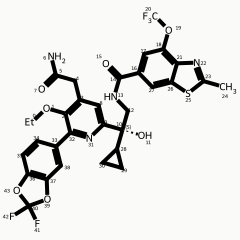 CCOc1c(CC(N)=O)cc([C@@](O)(CNC(=O)c2cc(OC(F)(F)F)c3nc(C)sc3c2)C2CC2)nc1-c1ccc2c(c1)OC(F)(F)O2